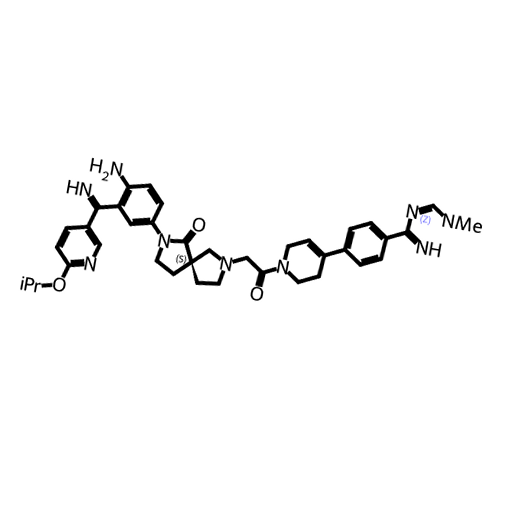 CN/C=N\C(=N)c1ccc(C2=CCN(C(=O)CN3CC[C@]4(CCN(c5ccc(N)c(C(=N)c6ccc(OC(C)C)nc6)c5)C4=O)C3)CC2)cc1